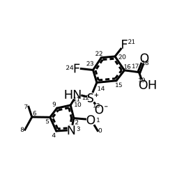 COc1ncc(C(C)C)cc1N[S+]([O-])c1cc(C(=O)O)c(F)cc1F